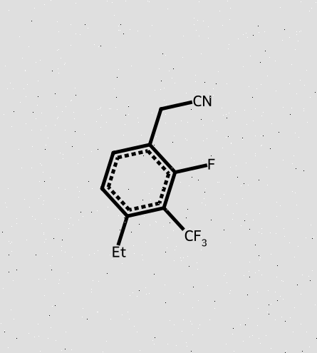 CCc1ccc(CC#N)c(F)c1C(F)(F)F